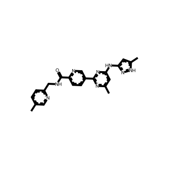 Cc1ccc(CNC(=O)c2ccc(-c3nc(C)cc(Nc4cc(C)[nH]n4)n3)cn2)nc1